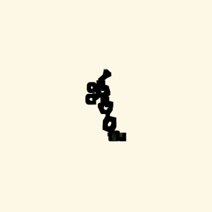 CC(C)(C)c1ccc(C2CCN(c3ccn(CC4CC4)c(=O)c3Cl)CC2)cc1